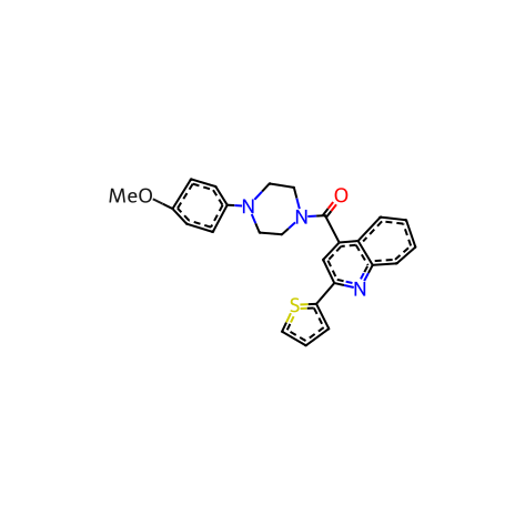 COc1ccc(N2CCN(C(=O)c3cc(-c4cccs4)nc4ccccc34)CC2)cc1